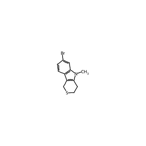 Cn1c2c(c3ccc(Br)cc31)CSCC2